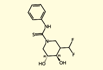 O[C@@H]1CN(C(=S)Nc2ccccc2)CC(C(F)F)[C@H]1O